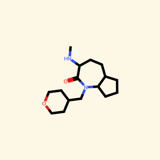 CNC1CCC2CCCC2N(CC2CCOCC2)C1=O